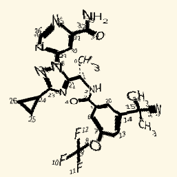 C[C@H](NC(=O)c1cc(OC(F)(F)F)cc(C(C)(C)C#N)c1)c1nc(C2CC2)nn1-c1cc(C(N)=O)ncn1